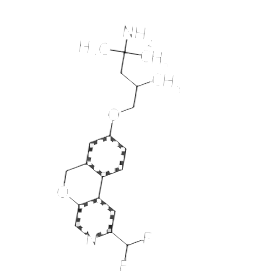 CC(COc1ccc2c(c1)COc1cnc(C(F)F)cc1-2)CC(C)(C)N